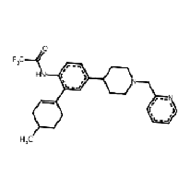 CC1CC=C(c2cc(C3CCN(Cc4ccccn4)CC3)ccc2NC(=O)C(F)(F)F)CC1